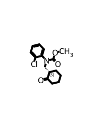 COC(=O)N(C[C@@H]1CCCCC1=O)c1ccccc1Cl